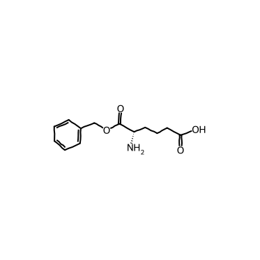 N[C@@H](CCCC(=O)O)C(=O)OCc1ccccc1